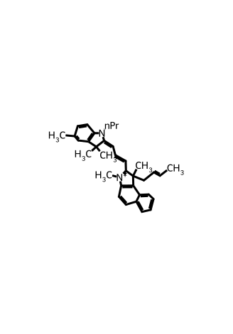 C/C=C/CC1(C)C(/C=C/C=C2/N(CCC)c3ccc(C)cc3C2(C)C)=[N+](C)c2ccc3ccccc3c21